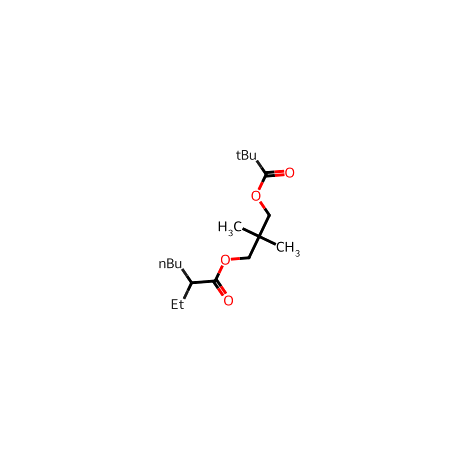 CCCCC(CC)C(=O)OCC(C)(C)COC(=O)C(C)(C)C